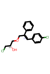 O[C@H](CCl)COC/C(=C/c1ccc(Cl)cc1)c1ccccc1